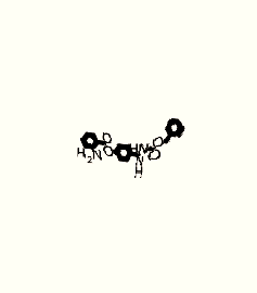 N=C(NC(=O)OCc1ccccc1)c1ccc(OC(=O)c2ccccc2N)cc1